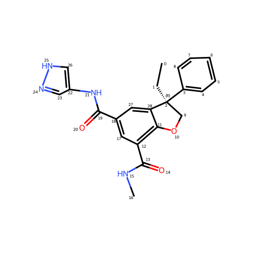 CC[C@]1(c2ccccc2)COc2c(C(=O)NC)cc(C(=O)Nc3cn[nH]c3)cc21